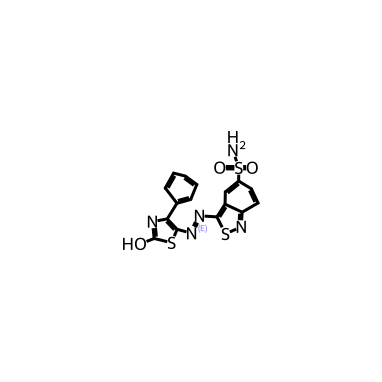 NS(=O)(=O)c1ccc2nsc(/N=N/c3sc(O)nc3-c3ccccc3)c2c1